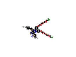 CC(C)(C)c1ccc(-c2ccc(C3=c4nc(-c5ccc(OCCOCCOCCOCCBr)cc5)c(-c5ccc(OCCOCCOCCOCCBr)cc5)nc4=C(c4ccc(C(C)(C)C)s4)C4NSN=C34)s2)cc1